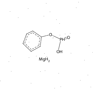 O=[PH](O)Oc1ccccc1.[MgH2]